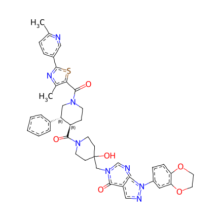 Cc1ccc(-c2nc(C)c(C(=O)N3CC[C@@H](C(=O)N4CCC(O)(Cn5cnc6c(cnn6-c6ccc7c(c6)OCCO7)c5=O)CC4)[C@H](c4ccccc4)C3)s2)cn1